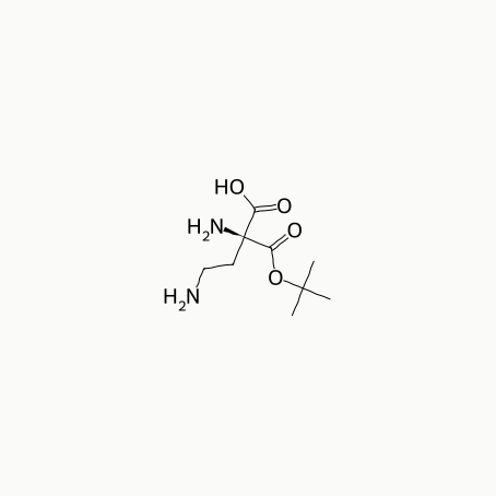 CC(C)(C)OC(=O)[C@](N)(CCN)C(=O)O